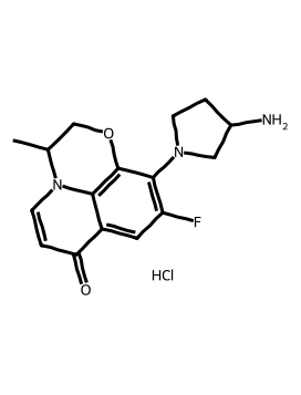 CC1COc2c(N3CCC(N)C3)c(F)cc3c(=O)ccn1c23.Cl